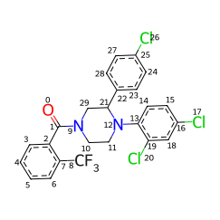 O=C(c1ccccc1C(F)(F)F)N1CCN(c2ccc(Cl)cc2Cl)C(c2ccc(Cl)cc2)C1